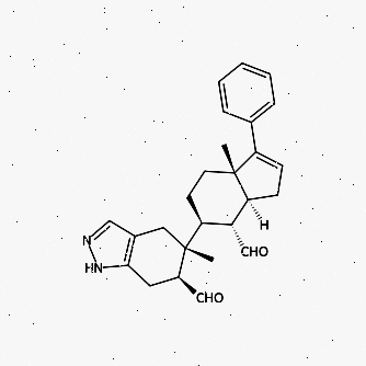 C[C@]1([C@H]2CC[C@]3(C)C(c4ccccc4)=CC[C@H]3[C@@H]2C=O)Cc2cn[nH]c2C[C@@H]1C=O